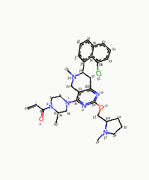 C=CC(=O)N1CCN(c2nc(OCC3CCCN3C)nc3c2CN(C)C(c2cccc4cccc(Cl)c24)C3)C[C@H]1C